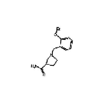 CCOc1ccccc1CN1CCC(C(N)=O)C1